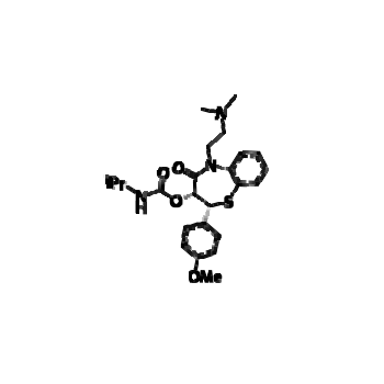 COc1ccc([C@H]2Sc3ccccc3N(CCN(C)C)C(=O)[C@H]2OC(=O)NC(C)C)cc1